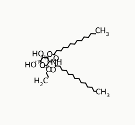 C=CCO[C@H]1O[C@H](CO)[C@@H](O)[C@H](OC(=O)CCCCCCCCCCCCC)[C@H]1NC(=O)CCCCCCCCCCCCC